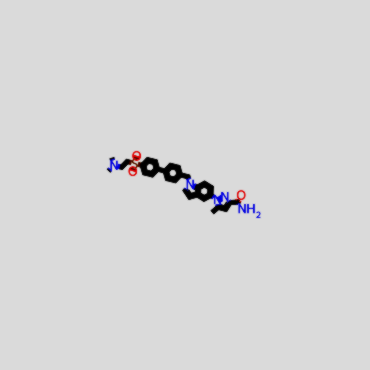 Cc1cc(C(N)=O)nn1-c1ccc2c(ccn2Cc2ccc(-c3ccc(S(=O)(=O)CCN(C)C)cc3)cc2)c1